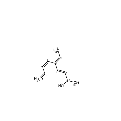 C=C\C=C/C(=C\C)/C=C/B(O)O